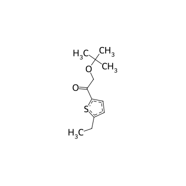 CCc1ccc(C(=O)COC(C)(C)C)s1